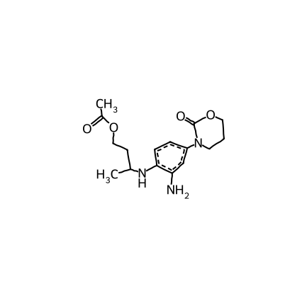 CC(=O)OCCC(C)Nc1ccc(N2CCCOC2=O)cc1N